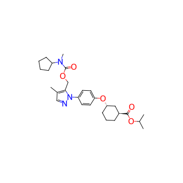 Cc1cnn(-c2ccc(O[C@H]3CCC[C@H](C(=O)OC(C)C)C3)cc2)c1COC(=O)N(C)C1CCCC1